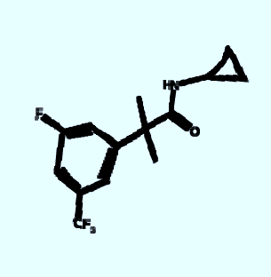 CC(C)(C(=O)NC1CC1)c1cc(F)cc(C(F)(F)F)c1